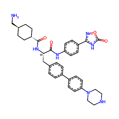 NC[C@H]1CC[C@H](C(=O)N[C@@H](Cc2ccc(-c3ccc(N4CCNCC4)cc3)cc2)C(=O)Nc2ccc(-c3noc(=O)[nH]3)cc2)CC1